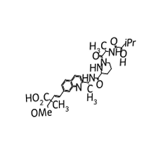 COCC(C)(/C=C/c1ccc2ccc([C@@H](C)NC(=O)C3CCCN(C(=O)C(C)NC(=O)C(O)C(C)C)N3)nc2c1)C(=O)O